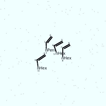 C=CCCCCC.C=CCCCCCC.C=CCCCCCC.C=CCCCCCC